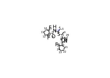 C=C(S/C(=C\C)NC(=O)c1c(F)cccc1F)c1cc(-c2ccccc2F)nn1C